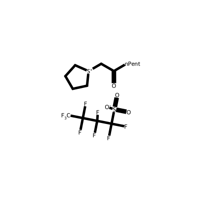 CCCCCC(=O)C[S+]1CCCC1.O=S(=O)([O-])C(F)(F)C(F)(F)C(F)(F)C(F)(F)F